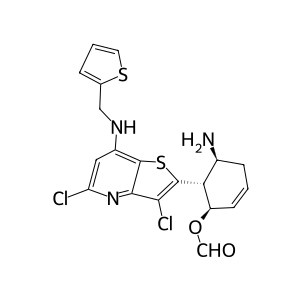 N[C@H]1CC=C[C@@H](OC=O)[C@@H]1c1sc2c(NCc3cccs3)cc(Cl)nc2c1Cl